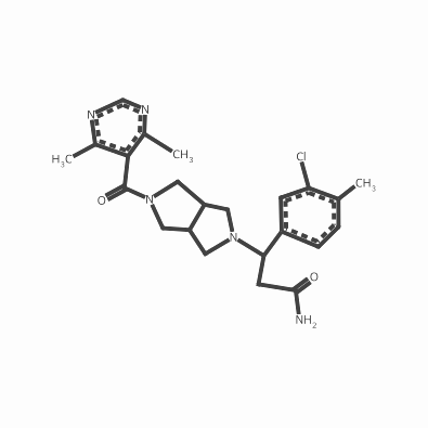 Cc1ccc(C(CC(N)=O)N2CC3CN(C(=O)c4c(C)ncnc4C)CC3C2)cc1Cl